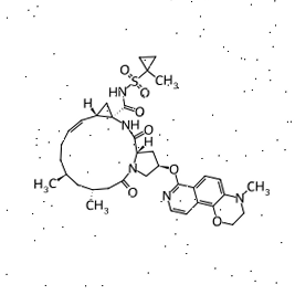 C[C@H]1CC/C=C\[C@@H]2C[C@@]2(C(=O)NS(=O)(=O)C2(C)CC2)NC(=O)[C@@H]2C[C@@H](Oc3nccc4c5c(ccc34)N(C)CCO5)CN2C(=O)C[C@H](C)C1